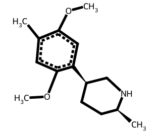 COc1cc([C@@H]2CC[C@H](C)NC2)c(OC)cc1C